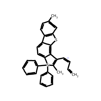 C=C/C=C\C1=C(C)[Si](c2ccccc2)(c2ccccc2)c2ccc3c(sc4cc(C)ccc43)c21